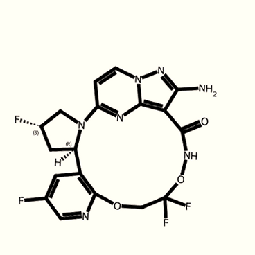 Nc1nn2ccc3nc2c1C(=O)NOC(F)(F)COc1ncc(F)cc1[C@H]1C[C@H](F)CN31